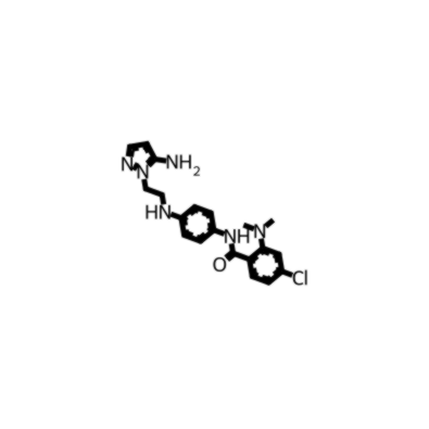 CN(C)c1cc(Cl)ccc1C(=O)Nc1ccc(NCCn2nccc2N)cc1